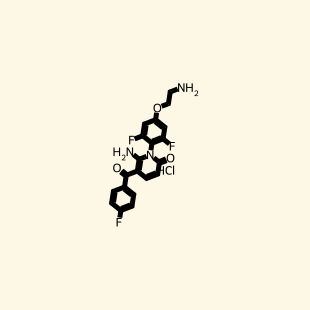 Cl.NCCOc1cc(F)c(-n2c(N)c(C(=O)c3ccc(F)cc3)ccc2=O)c(F)c1